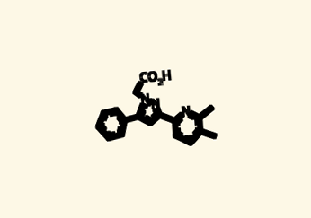 Cc1ccc(-c2cc(-c3ccccc3)n(CC(=O)O)n2)nc1C